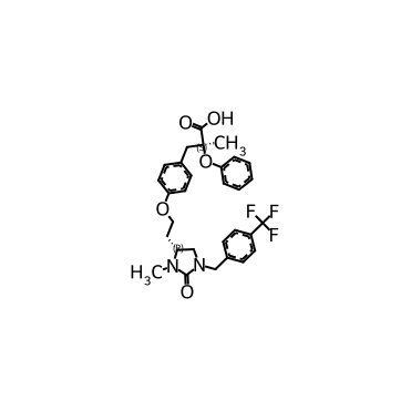 CN1C(=O)N(Cc2ccc(C(F)(F)F)cc2)C[C@H]1CCOc1ccc(C[C@](C)(Oc2ccccc2)C(=O)O)cc1